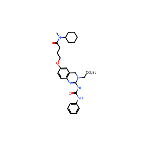 CCOC(=O)CN1Cc2cc(OCCCC(=O)N(C)C3CCCCC3)ccc2N=C1NC(=O)Nc1ccccc1